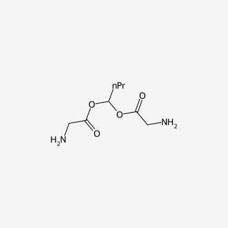 CCCC(OC(=O)CN)OC(=O)CN